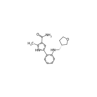 Cc1[nH]c(-c2ccccc2NC[C@@H]2CCOC2)cc1C(N)=O